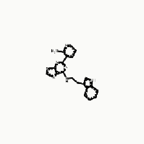 Nc1ncccc1-c1nc(NCCc2c[nH]c3ccccc23)c2ncsc2n1